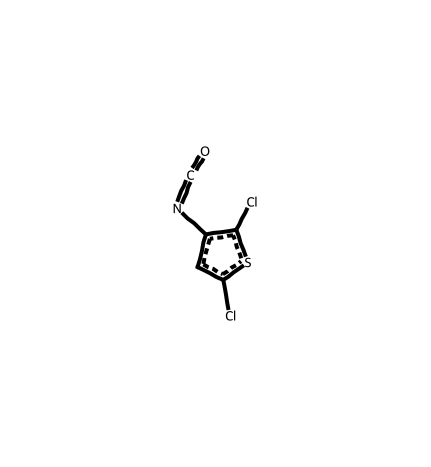 O=C=Nc1cc(Cl)sc1Cl